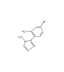 Cc1cc(Br)ccc1-c1nccn1C